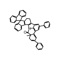 CC12CC=C(c3ccccc3)C=C1c1cc(-c3ccccc3)cc3c4c(n(c13)C2=O)C1=C(CC4)C2(c3ccccc31)c1ccccc1-c1ccccc12